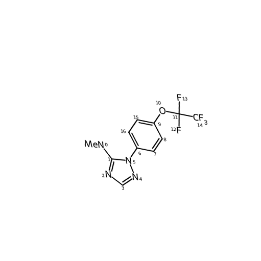 CNc1ncnn1-c1ccc(OC(F)(F)C(F)(F)F)cc1